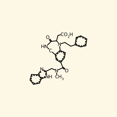 CN(Cc1nc2ccccc2[nH]1)C(=O)c1ccc2c(c1)CNC(=O)C(CC(=O)O)N2CCc1ccccc1